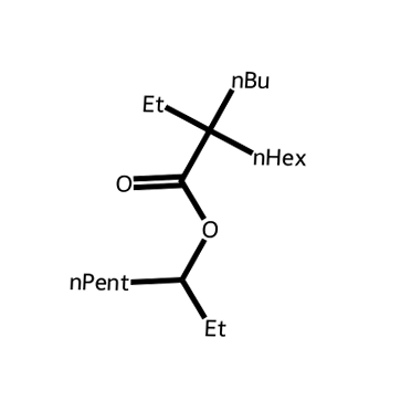 CCCCCCC(CC)(CCCC)C(=O)OC(CC)CCCCC